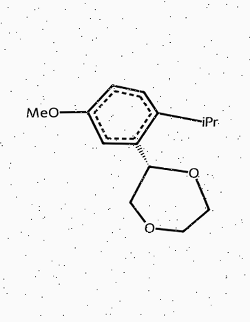 COc1ccc(C(C)C)c([C@H]2COCCO2)c1